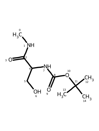 CNC(=O)C(CO)NC(=O)OC(C)(C)C